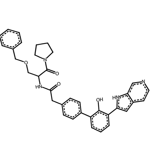 O=C(Cc1ccc(-c2cccc(-c3cc4ccncc4[nH]3)c2O)cc1)NC(COCc1ccccc1)C(=O)N1CCCC1